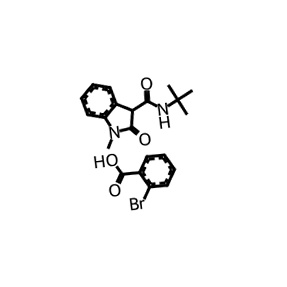 CN1C(=O)C(C(=O)NC(C)(C)C)c2ccccc21.O=C(O)c1ccccc1Br